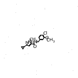 COc1cc(CNC(=O)c2cc(C3CC3)nn2C)ccc1Cl